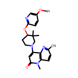 CC(C)Oc1ccc(O[C@@H]2CCN(c3cc(=O)n(C)c4ccc(C#N)nc34)CC2(C)C)nc1